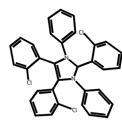 Clc1ccccc1C1=C(c2ccccc2Cl)N(c2ccccc2)C(c2ccccc2Cl)N1c1ccccc1